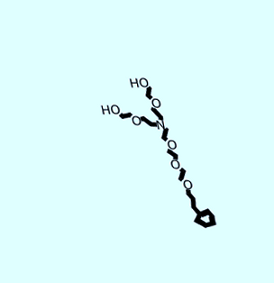 OCCOCCN(CCOCCO)CCOCCOCCOCCCc1ccccc1